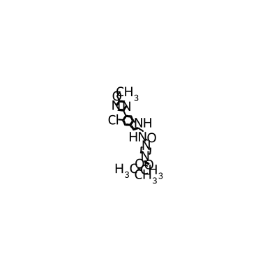 COc1cnc(-c2cc3[nH]c(CNC(=O)N4CCN(C(=O)OC(C)(C)C)CC4)cc3cc2Cl)cn1